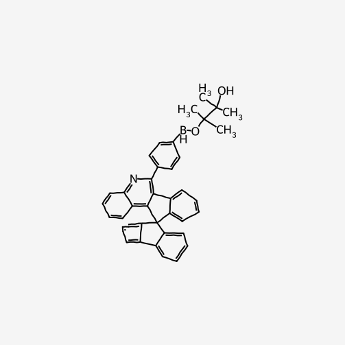 CC(C)(O)C(C)(C)OBc1ccc(-c2nc3ccccc3c3c2-c2ccccc2C32c3ccccc3-c3ccccc32)cc1